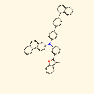 Cc1c(-c2cccc(N(c3ccc(-c4ccc(-c5cccc6ccccc56)cc4)cc3)c3ccc4c(ccc5ccccc54)c3)c2)oc2ccccc12